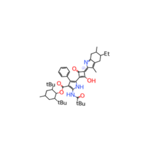 CCC1CC2=C(C)/C(=C3/C(=O)C(c4[nH]c(NC(=O)C(C)(C)C)c(C(=O)OC5C(C(C)(C)C)CC(C)CC5C(C)(C)C)c4-c4ccccc4)=C3O)N=C2CC1C